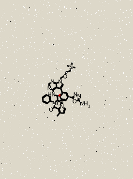 Cc1ccn2nc(C(C)Nc3ncnc4c3c(-c3cc(O)cc(-c5nnc(N)o5)c3)cn4COCC[Si](C)(C)C)n(-c3ccccc3)c(=O)c12